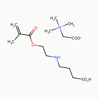 C=C(C)C(=O)OCCNCCCS(=O)(=O)O.C[N+](C)(C)CC(=O)[O-]